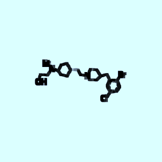 CCN(CCO)[C@H]1CC[C@H](CCN2CCC(Cc3cc(Cl)ccc3Br)CC2)CC1